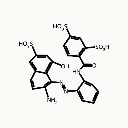 Nc1ccc2cc(S(=O)(=O)O)cc(O)c2c1N=Nc1ccccc1NC(=O)c1ccc(S(=O)(=O)O)cc1S(=O)(=O)O